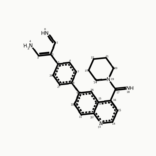 N=C/C(=C\N)c1ccc(-c2ccc3nccc(C(=N)N4CCCCC4)c3c2)cc1